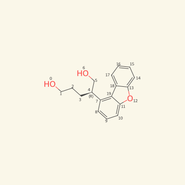 OCCC[C@@H](CO)c1cccc2oc3ccccc3c12